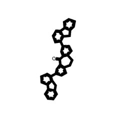 O=C1c2cc(-c3cccc4c3Cc3ccccc3-4)ccc2CCc2ccc(-c3cccc4c3Cc3ccccc3-4)cc21